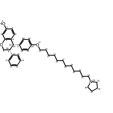 Oc1ccc2c(c1)OC[C@@H](c1ccccc1)[C@H]2c1ccc(OCCCCCCCCCCCCN2CCCC2)cc1